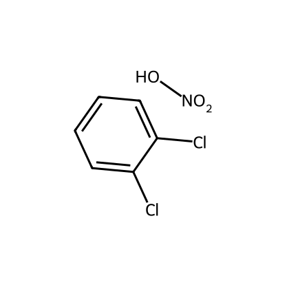 Clc1ccccc1Cl.O=[N+]([O-])O